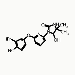 CC(C)c1cc(Oc2cccc(N3C(=O)NC(C)(C)C3O)n2)ccc1C#N